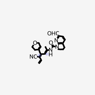 C=C/C(C#N)=C(\C=C(/C)NC(=O)N1CCCc2ccc(C=O)nc21)C1=CCOCC1